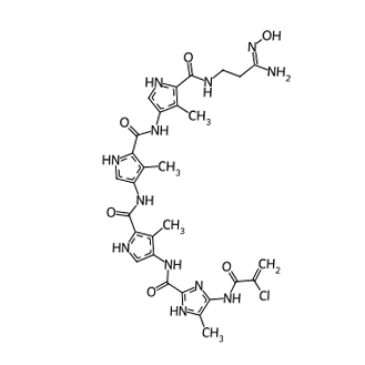 C=C(Cl)C(=O)Nc1nc(C(=O)Nc2c[nH]c(C(=O)Nc3c[nH]c(C(=O)Nc4c[nH]c(C(=O)NCCC(N)=NO)c4C)c3C)c2C)[nH]c1C